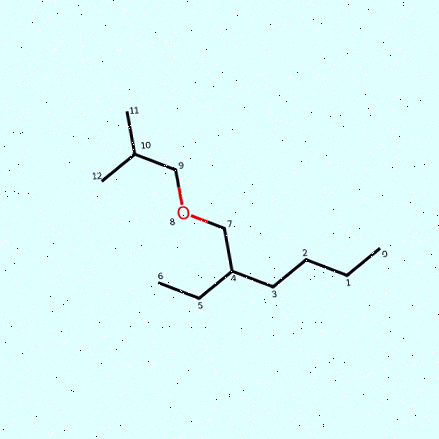 CCCCC(CC)COCC(C)C